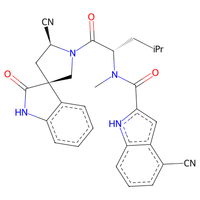 CC(C)C[C@@H](C(=O)N1C[C@]2(C[C@H]1C#N)C(=O)Nc1ccccc12)N(C)C(=O)c1cc2c(C#N)cccc2[nH]1